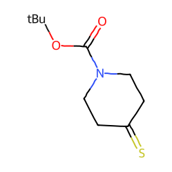 CC(C)(C)OC(=O)N1CCC(=S)CC1